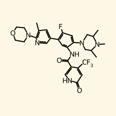 Cc1cc(-c2cc(NC(=O)c3c[nH]c(=O)cc3C(F)(F)F)c(N3CC(C)N(C)C(C)C3)cc2F)cnc1N1CCOCC1